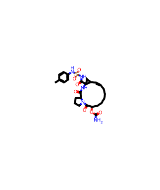 Cc1ccc(NS(=O)(=O)NC(=O)C23CC2/C=C\CCCCCC(OC(N)=O)C(=O)N2CCCC2C(=O)N3)cc1